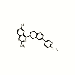 Cc1ccc(-c2cnc3c(c2)CN(c2nc(C)nc4ccc(Cl)cc24)CC3)cn1